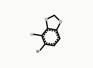 [Li][c]1c(Br)ccc2c1OCO2